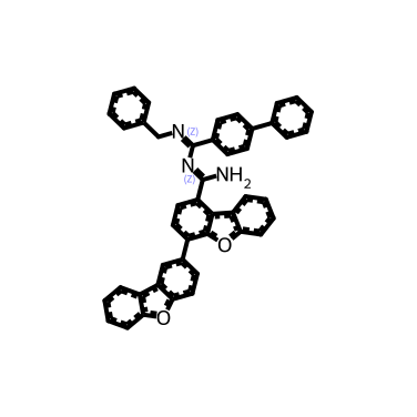 N/C(=N\C(=N/Cc1ccccc1)c1ccc(-c2ccccc2)cc1)c1ccc(-c2ccc3oc4ccccc4c3c2)c2oc3ccccc3c12